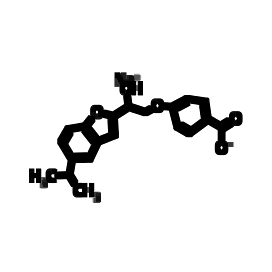 CC(C)c1ccc2oc(C(O)COc3ccc(C(=O)[O-])cc3)cc2c1.[Na+]